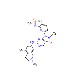 Cc1cc(Nc2ncc3c(=O)n(C4CC4)n(-c4cccc(N=S(C)(C)=O)n4)c3n2)cc2c1CCN(C)C2